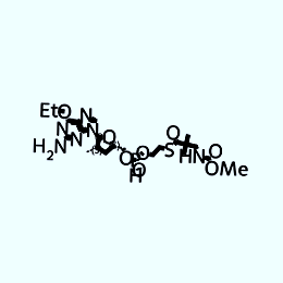 CCOc1nc(N)nc2c1ncn2[C@@H]1O[C@H](CO[PH](=O)OCCSC(=O)C(C)(C)CNC(=O)OC)C[C@@H]1C